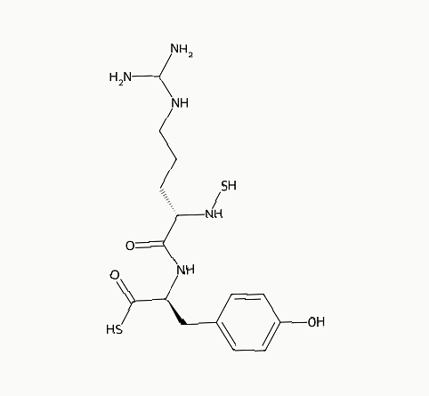 NC(N)NCCC[C@H](NS)C(=O)N[C@@H](Cc1ccc(O)cc1)C(=O)S